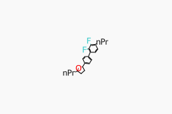 CCCc1ccc(-c2ccc(C3CCC(CCC)O3)cc2)c(F)c1F